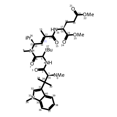 CN[C@H](C(=O)NC(C(=O)N(C)[C@H](/C=C(\C)C(=O)N[C@@H](CCC(=O)OC)C(=O)OC)C(C)C)C(C)(C)C)C(C)(C)c1cn(C)c2ccccc12